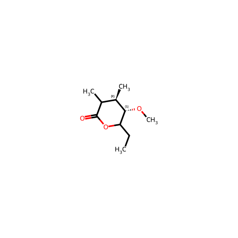 CCC1OC(=O)C(C)[C@@H](C)[C@@H]1OC